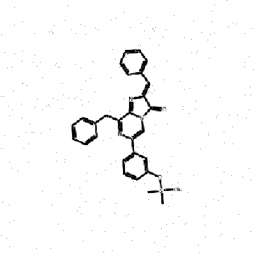 CC(C)(C)[Si](C)(C)Oc1cccc(C2=CN3C(=O)/C(=C/c4ccccc4)N=C3C(Cc3ccccc3)=N2)c1